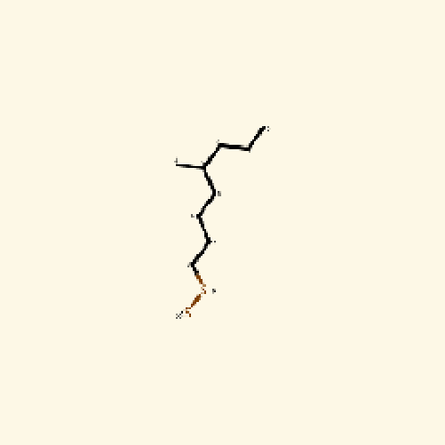 CCCC(C)CCCCS[S]